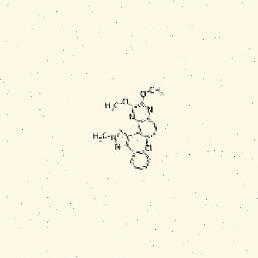 COc1nc2ccc(Cl)c(-c3nn(C)nc3-c3ccccc3)c2nc1OC